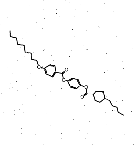 CCCCCCCCCOc1ccc(C(=O)Oc2ccc(OC(=O)[C@H]3CC[C@H](CCCCC)CC3)cc2)cc1